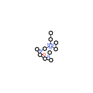 c1ccc(-c2ccc(-c3nc(-c4ccc(-n5c6ccccc6c6ccc7c8ccc9c%10ccccc%10n(-c%10ccccc%10)c9c8oc7c65)cc4)nc(-c4ccccc4-c4ccccc4)n3)cc2)cc1